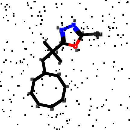 CC(C)(C)c1nnc(C(C)(C)CC2CCCCCCC2)o1